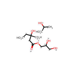 CC(O)C(=O)O.O=C(O)CC(O)(CC(=O)OCC(O)CO)C(=O)O